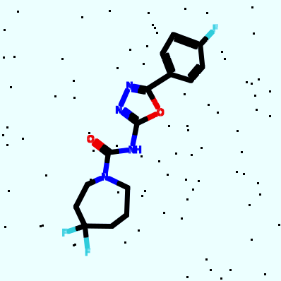 O=C(Nc1nnc(-c2ccc(F)cc2)o1)N1CCCC(F)(F)CC1